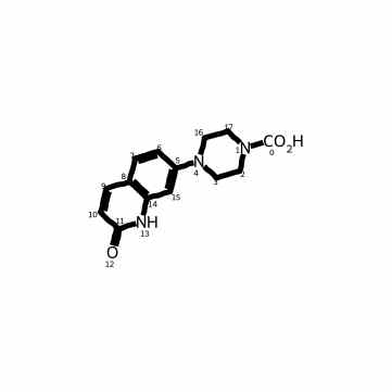 O=C(O)N1CCN(c2ccc3ccc(=O)[nH]c3c2)CC1